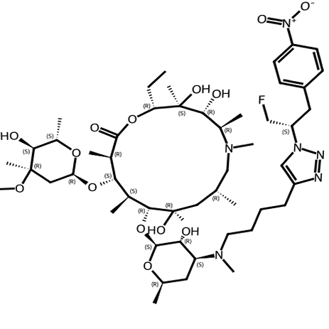 CC[C@H]1OC(=O)[C@H](C)[C@@H](O[C@H]2C[C@@](C)(OC)[C@@H](O)[C@H](C)O2)[C@H](C)[C@@H](O[C@@H]2O[C@H](C)C[C@H](N(C)CCCCc3cn([C@H](CF)Cc4ccc([N+](=O)[O-])cc4)nn3)[C@H]2O)[C@](C)(O)C[C@@H](C)CN(C)[C@H](C)[C@@H](O)[C@]1(C)O